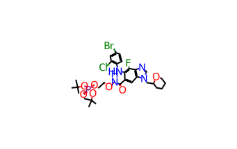 CC(C)(C)OP(=O)(OCCONC(=O)c1cc2c(ncn2CC2CCCCO2)c(F)c1Nc1ccc(Br)cc1Cl)OC(C)(C)C